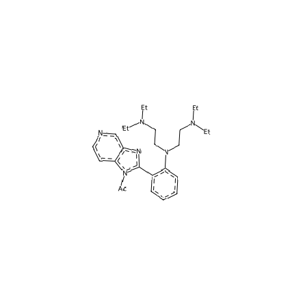 CCN(CC)CCN(CCN(CC)CC)c1ccccc1-c1nc2cnccc2n1C(C)=O